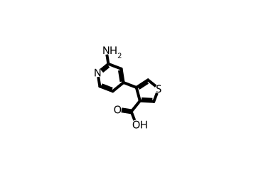 Nc1cc(-c2cscc2C(=O)O)ccn1